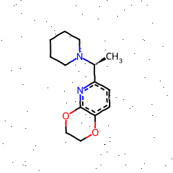 C[C@@H](c1ccc2c(n1)OCCO2)N1CCCCC1